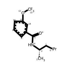 CC(C)C[C@H](C)NC(=O)c1cccc(OC(F)(F)F)c1